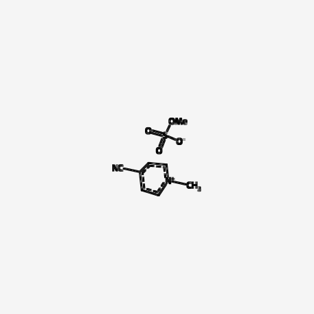 COS(=O)(=O)[O-].C[n+]1ccc(C#N)cc1